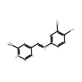 Oc1cc(/C=N/c2ccc(F)c(Cl)c2)ccn1